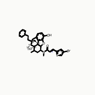 CC1CC(N(C)C(=O)/C=C/c2cc(Br)cs2)C2Oc3c(O)ccc4c3[C@@]23CCN(CCc2ccccc2)[C@H](C4)[C@]13O